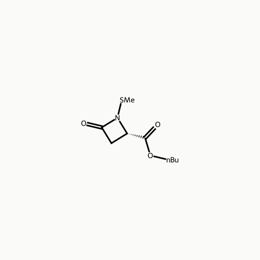 CCCCOC(=O)[C@@H]1CC(=O)N1SC